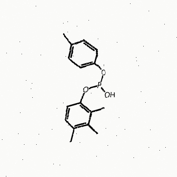 Cc1ccc(OP(O)Oc2ccc(C)c(C)c2C)cc1